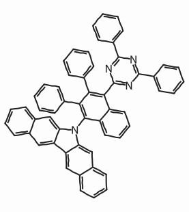 c1ccc(-c2nc(-c3ccccc3)nc(-c3c(-c4ccccc4)c(-c4ccccc4)c(-n4c5cc6ccccc6cc5c5cc6ccccc6cc54)c4ccccc34)n2)cc1